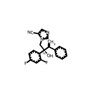 C=C(c1ccccc1)[C@@](O)(Cn1cncc1C#N)c1ccc(F)cc1F